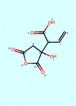 C=CC(C(=O)O)C1(O)CC(=O)OC1=O